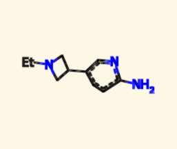 CCN1CC(c2ccc(N)nc2)C1